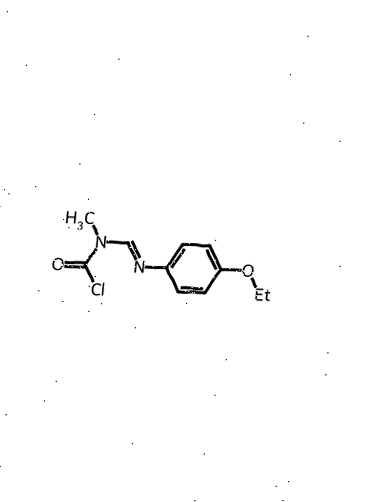 CCOc1ccc(N=CN(C)C(=O)Cl)cc1